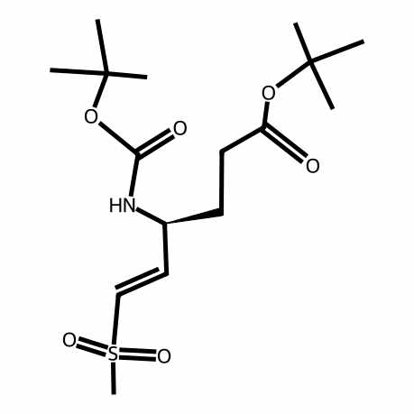 CC(C)(C)OC(=O)CC[C@@H](/C=C/S(C)(=O)=O)NC(=O)OC(C)(C)C